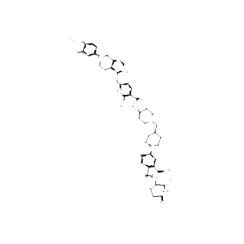 CN(C(=O)c1ccc(Nc2ncnc3c2CCN(c2ccc(C#N)c(Cl)c2)C3)nc1F)C1CCN(CC2CCN(c3cc4c(cc3F)C(=O)N(C3CCC(=O)NC3=O)C4=O)CC2)CC1